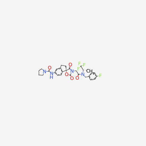 C[C@H](N(Cc1ccc(F)cc1)C(=O)CN1C(=O)O[C@@]2(CCc3cc(NC(=O)N4CCCC4)ccc32)C1=O)C(F)(F)F